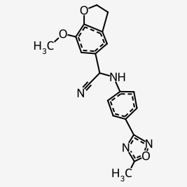 COc1cc(C(C#N)Nc2ccc(-c3noc(C)n3)cc2)cc2c1OCC2